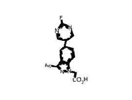 CC(=O)c1nn(CC(=O)O)c2ccc(-c3cnc(F)nc3)cc12